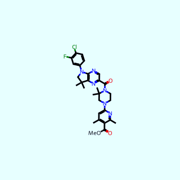 COC(=O)c1c(C)cc(N2CCN(C(=O)c3cnc4c(n3)C(C)(C)CN4c3ccc(Cl)c(F)c3)C(C)(C)C2)nc1C